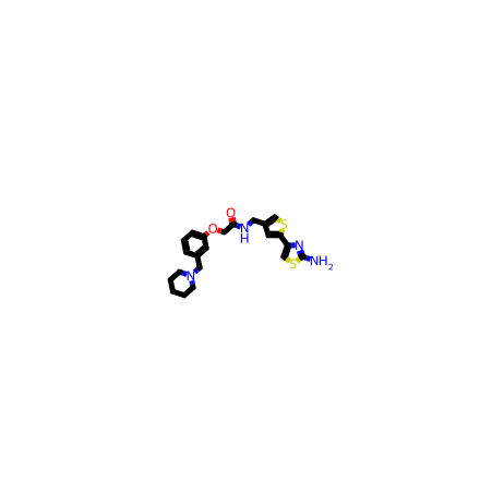 Nc1nc(-c2cc(CNC(=O)COc3cccc(CN4CCCCC4)c3)cs2)cs1